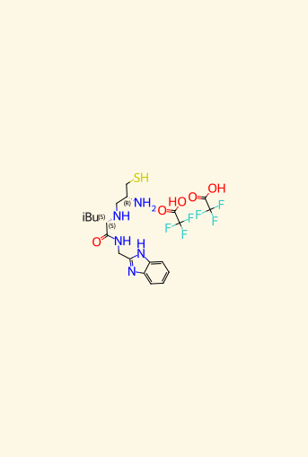 CC[C@H](C)[C@H](NC[C@@H](N)CS)C(=O)NCc1nc2ccccc2[nH]1.O=C(O)C(F)(F)F.O=C(O)C(F)(F)F